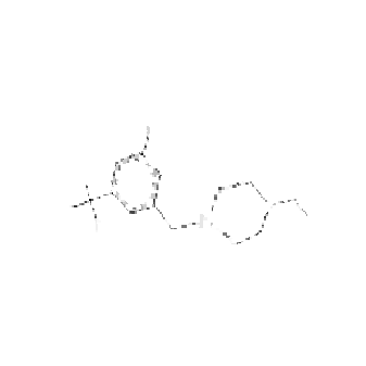 CCN1CCN(Cc2cc(F)cc(C(F)(F)F)c2)CC1